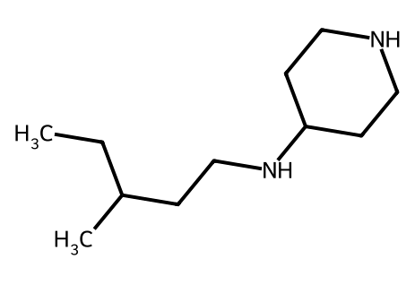 CCC(C)CCNC1CCNCC1